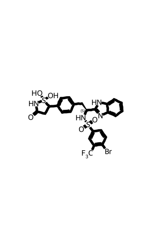 O=C1CC(c2ccc(C[C@H](NS(=O)(=O)c3ccc(Br)c(C(F)(F)F)c3)c3nc4ccccc4[nH]3)cc2)S(O)(O)N1